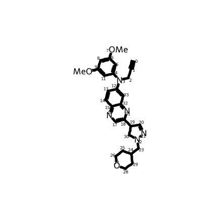 C#CCN(c1cc(OC)cc(OC)c1)c1ccc2ncc(C3C=NN(CC4CCOCC4)C3)nc2c1